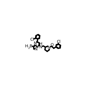 Bc1cnn2c(NCC3CCCN(C(=O)Cc4cccc(Cl)c4)C3)cc(-c3ccccc3Cl)nc12